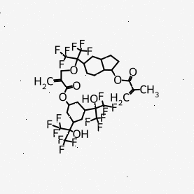 C=C(C)C(=O)OC1CCC2CC(C(OCC(=C)C(=O)OC3CC(C(O)(C(F)(F)F)C(F)(F)F)CC(C(O)(C(F)(F)F)C(F)(F)F)C3)(C(F)(F)F)C(F)(F)F)CCC21